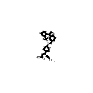 CC#C[C@@H](CC(=O)O)c1ccc(OCc2ccc3scc(-c4ccccc4C(F)(F)F)c3c2)cc1